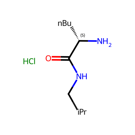 CCCC[C@H](N)C(=O)NCC(C)C.Cl